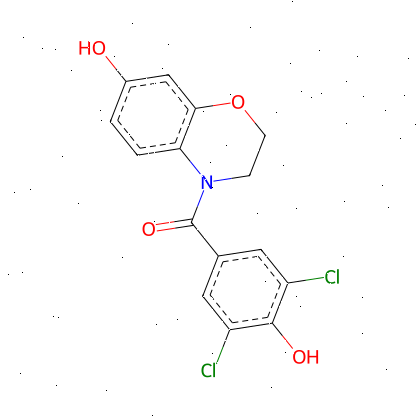 O=C(c1cc(Cl)c(O)c(Cl)c1)N1CCOc2cc(O)ccc21